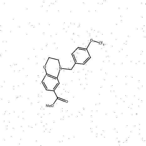 COC(=O)c1ccc2c(c1)N(Cc1ccc(OC(F)(F)F)cc1)CCO2